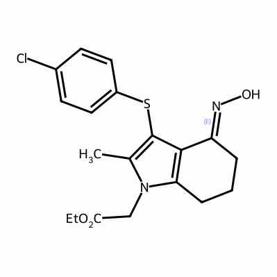 CCOC(=O)Cn1c(C)c(Sc2ccc(Cl)cc2)c2c1CCC/C2=N\O